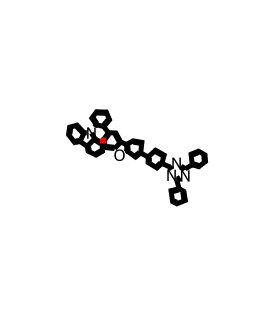 c1ccc(-c2nc(-c3ccccc3)nc(-c3ccc(-c4ccc5c(c4)oc4ccc(-c6ccccc6-n6c7ccccc7c7ccccc76)cc45)cc3)n2)cc1